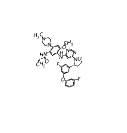 C=CC(=O)Nc1cc(Nc2cc(N3OCC[C@H]3c3cc(F)cc(Oc4cccc(F)c4)c3)ncn2)c(OC)cc1N1CCN(C)CC1